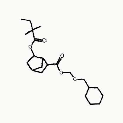 CCC(C)(C)C(=O)OC1CC2CC(C(=O)OCOCC3CCCCC3)C1C2